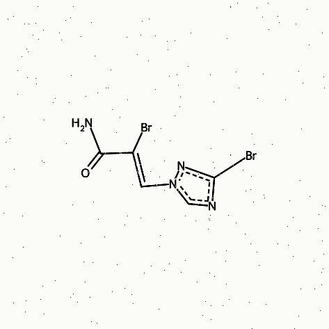 NC(=O)C(Br)=Cn1cnc(Br)n1